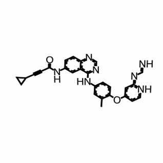 Cc1cc(Nc2ncnc3ccc(NC(=O)C#CC4CC4)cc23)ccc1Oc1cc[nH]/c(=N\C=N)c1